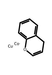 C1=COc2ccccc2C1.[Co].[Cu]